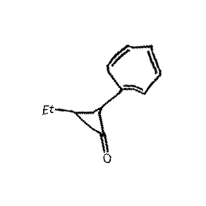 CCC1C(=O)C1c1ccccc1